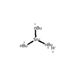 CCC[CH2][Sn]([CH2]CCC)[CH2]CCC.[H-]